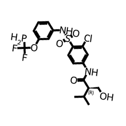 CC(C)[C@H](CO)C(=O)Nc1ccc(S(=O)(=O)Nc2cccc(OC(F)(F)P)c2)c(Cl)c1